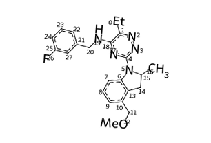 CCc1nnc(N2c3cccc(COC)c3CC2C)nc1NCc1cccc(F)c1